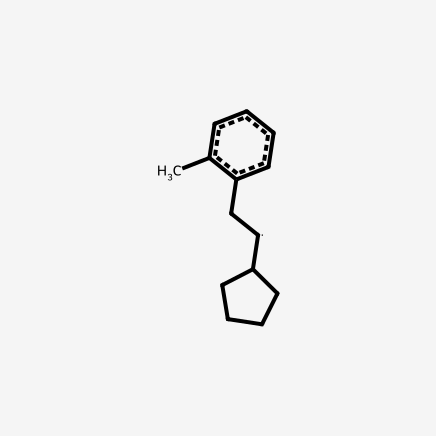 Cc1ccccc1C[CH]C1CCCC1